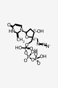 C=C1NC(=O)C=CN1[C@H]1C[C@H](O)[C@@](CN=[N+]=[N-])(COP(=O)(O)OP(=O)(O)OP(=O)(O)O)O1